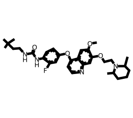 COc1cc2c(Oc3ccc(NC(=O)NCCC(C)(C)C)c(F)c3)ccnc2cc1OCCN1C(C)CCCC1C